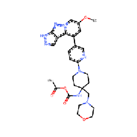 CCOc1cc(-c2ccc(N3CCC(CN4CCOCC4)(NC(=O)OC(=O)C(C)(C)C)CC3)nc2)c2c3cn[nH]c3nn2c1